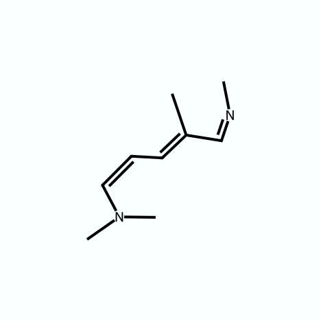 C\N=C/C(C)=C/C=C\N(C)C